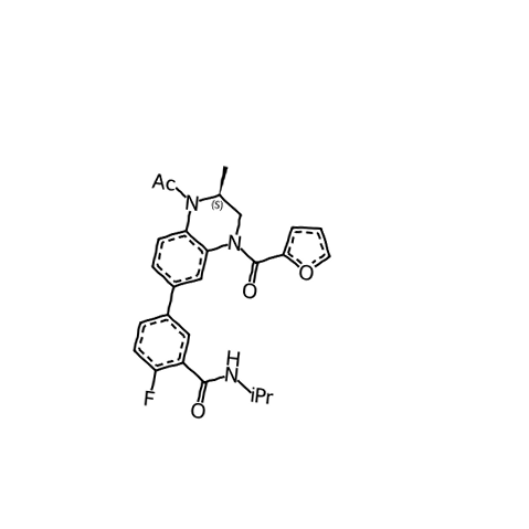 CC(=O)N1c2ccc(-c3ccc(F)c(C(=O)NC(C)C)c3)cc2N(C(=O)c2ccco2)C[C@@H]1C